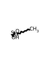 CCCCCCCCC(=O)OC1CSCC1O